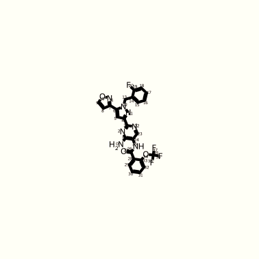 Nc1nc(-c2cc(-c3ccon3)n(Cc3ccccc3F)n2)ncc1NC(=O)c1ccccc1OC(F)(F)F